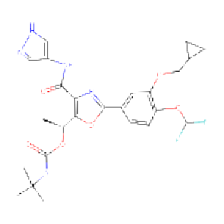 C[C@H](OC(=O)NC(C)(C)C)c1oc(-c2ccc(OC(F)F)c(OCC3CC3)c2)nc1C(=O)Nc1cn[nH]c1